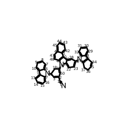 N#CC1=CC(n2c3ccccc3c3ccccc32)CC(n2c3ccc(-n4c5c(c6ccccc64)C=CCC5)cc3c3c4ccccc4ccc32)=C1